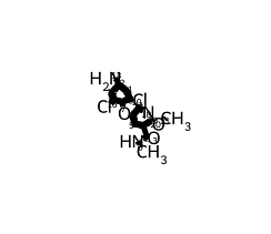 CNC(=O)c1cc(Oc2c(Cl)cc(N)cc2Cl)cnc1OC